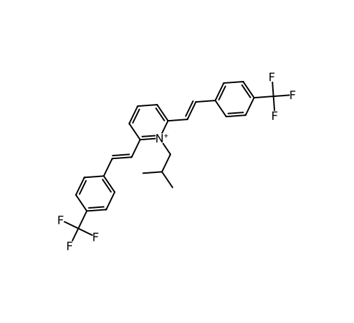 CC(C)C[n+]1c(/C=C/c2ccc(C(F)(F)F)cc2)cccc1/C=C/c1ccc(C(F)(F)F)cc1